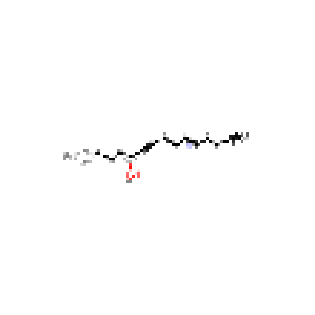 C#CCC/C=C/C=C/C#C[C@@H](O)CCCC(=O)OCC